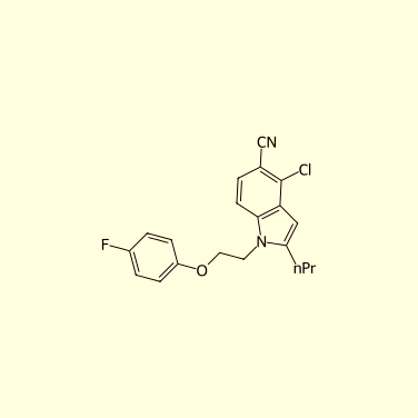 CCCc1cc2c(Cl)c(C#N)ccc2n1CCOc1ccc(F)cc1